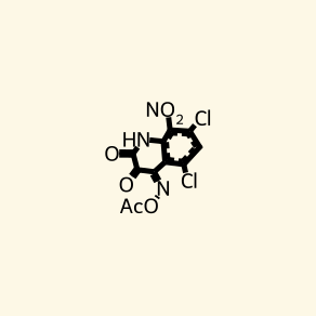 CC(=O)ON=C1C(=O)C(=O)Nc2c1c(Cl)cc(Cl)c2[N+](=O)[O-]